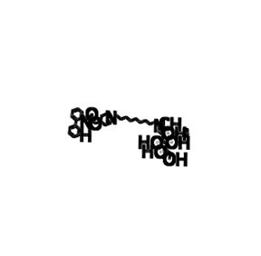 CN(CCCCCCCCCN1CCC(OC(=O)Nc2ccccc2-c2ccccc2)CC1)C[C@H](O)[C@@H](O)[C@H](O)[C@@H](O)CO